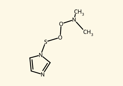 CN(C)OOSn1ccnc1